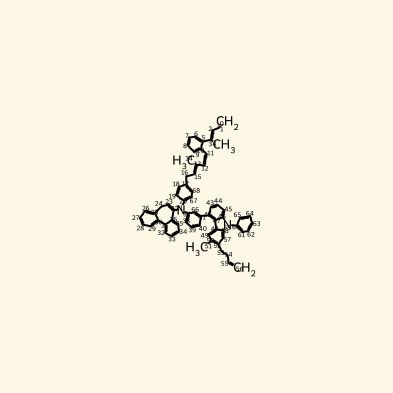 C=C/C=C(\C)c1ccccc1/C=C\C(C)=C\Cc1ccc(N(C2=CCc3ccccc3-c3ccccc32)c2cccc(-c3cccc4c3c3cc(C)c(CCC=C)cc3n4-c3ccccc3)c2)cc1